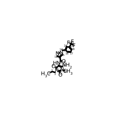 CCCn1c(=O)c(NC(=O)c2cnn(Cc3cccc(C(F)(F)F)c3)c2)c(N)n(C)c1=O